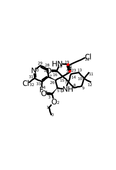 CCOC(=O)[C@@H]1NC2(CCC(C)(C)CC2)C2(C(=O)Nc3cc(Cl)ccc32)[C@@H]1c1ccnc(Cl)c1F